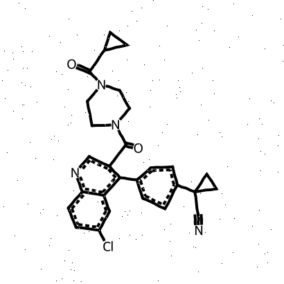 N#CC1(c2ccc(-c3c(C(=O)N4CCN(C(=O)C5CC5)CC4)cnc4ccc(Cl)cc34)cc2)CC1